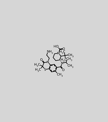 Cc1cc2c(cc1C(=O)N(C(C)C)[C@@H]1CCCN(C(=O)O)C1C(C)(C)C)N(CCN)C(=O)C(C)(C)S2